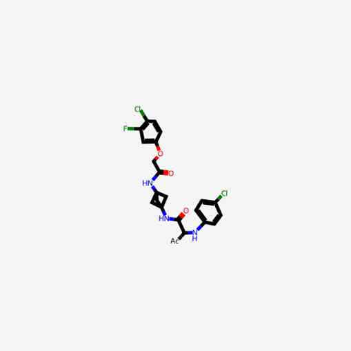 CC(=O)C(Nc1ccc(Cl)cc1)C(=O)NC12CC(NC(=O)COc3ccc(Cl)c(F)c3)(C1)C2